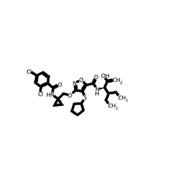 C=C(O)[C@H](NC(=O)c1onc(OCC2(NC(=O)c3ccc(Cl)cc3Cl)CC2)c1SC1CCCC1)C(CC)CC